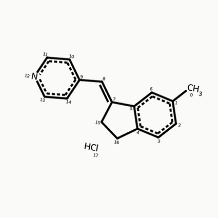 Cc1ccc2c(c1)C(=Cc1ccncc1)CC2.Cl